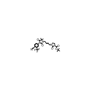 CC(C)(C)OC(=O)N1CCN(CC=CCN2C(=O)N(c3ccc(C#N)c(C(F)(F)F)c3)C(=O)C2(C)C)C1=O